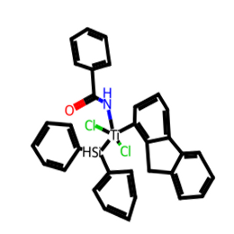 O=C([NH][Ti]([Cl])([Cl])([c]1cccc2c1Cc1ccccc1-2)[SiH](c1ccccc1)c1ccccc1)c1ccccc1